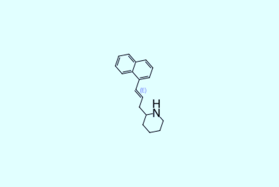 C(=C\c1cccc2ccccc12)/CC1CCCCN1